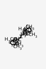 CC1(C)CCCC(C)(C)N1S(=O)(=O)CCCCCCS(=O)(=O)N1C(C)(C)CCCC1(C)C